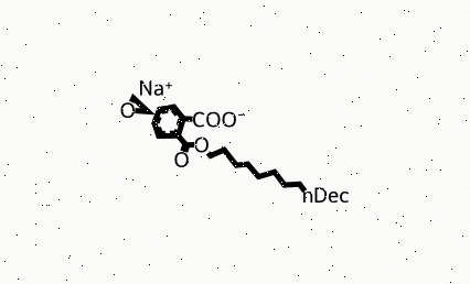 C1CO1.CCCCCCCCCCCCCCCCCCOC(=O)c1ccccc1C(=O)[O-].[Na+]